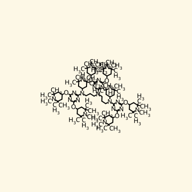 CN1C(C)(C)CC(Oc2nc(OC3CC(C)(C)N(C)C(C)(C)C3)nc(N(CCCN(c3nc(OC4CC(C)(C)N(C)C(C)(C)C4)nc(OC4CC(C)(C)N(C)C(C)(C)C4)n3)C3CC(C)(C)NC(C)(C)C3)CCCN(c3nc(OC4CC(C)(C)N(C)C(C)(C)C4)nc(OC4CC(C)(C)N(C)C(C)(C)C4)n3)C3CC(C)(C)NC(C)(C)C3)n2)CC1(C)C